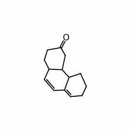 O=C1CCC2C=CC3=CCCCC3C2C1